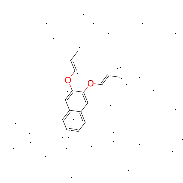 CC=COc1cc2ccccc2cc1OC=CC